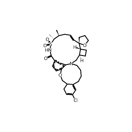 C[C@@H]1[C@@H](C)C/C=C/[C@@]2(CCCO2)[C@@H]2CC[C@H]2CN2CCCCC3=CC(Cl)=CCC3COc3ccc(cc32)C(=O)NS1(=O)=O